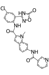 Cn1c(C(=O)Nc2ccc(Cl)cc2-c2noc(=O)[nH]2)cc2ccc(NC(=O)c3cccnc3)cc21